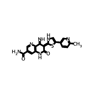 Cc1ccc(C2=CN/C(=C3\C(=N)c4ncc(C(N)=O)cc4NC3=O)S2)cn1